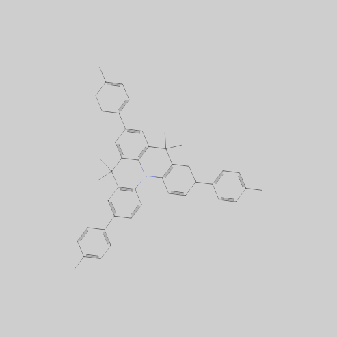 CC1=CC=C(c2cc3c4c(c2)C(C)(C)c2cc(-c5ccc(C)cc5)ccc2N4C2=C(CC(c4ccc(C)cc4)C=C2)C3(C)C)CC1